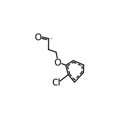 O=[C]CCOc1ccccc1Cl